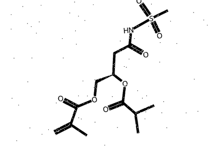 C=C(C)C(=O)OC[C@@H](CC(=O)NS(C)(=O)=O)OC(=O)C(C)C